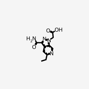 CCc1cc2c(C(N)=O)nn(CC(=O)O)c2cn1